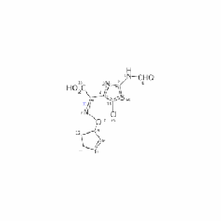 O=CNc1nc(/C(=N\OC2C=CCC2)C(=O)O)c(Cl)s1